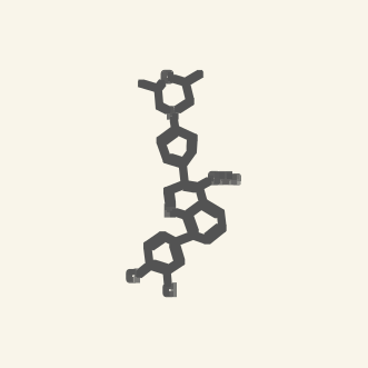 COc1c(-c2ccc(N3CC(C)OC(C)C3)cc2)cnc2c(-c3ccc(Cl)c(Cl)c3)cccc12